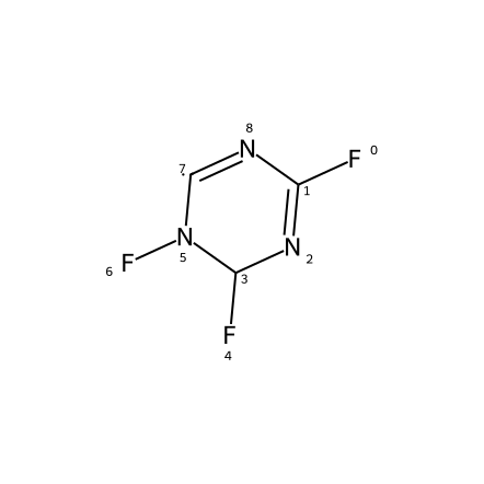 FC1=NC(F)N(F)[C]=N1